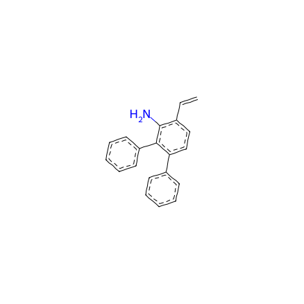 C=Cc1ccc(-c2ccccc2)c(-c2ccccc2)c1N